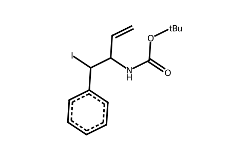 C=CC(NC(=O)OC(C)(C)C)C(I)c1ccccc1